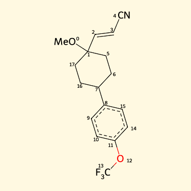 COC1(C=CC#N)CCC(c2ccc(OC(F)(F)F)cc2)CC1